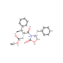 C[C@@H](c1ccccc1)[C@@H](CC(=O)OC(C)(C)C)C(=O)N1C(=O)OC[C@H]1Cc1ccccc1